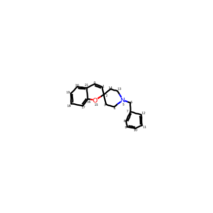 C1=CC2(CCN(Cc3ccccc3)CC2)Oc2ccccc21